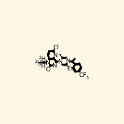 [2H]C([2H])([2H])n1c(=O)nc(N2C[C@@H](CC)N(C(C)c3ccc(C(F)(F)F)cc3)C[C@@H]2C)c2nc(Cl)ccc21